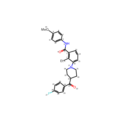 CCc1c(C(=O)Nc2ccc(OC)cc2)cccc1N1CCC(C(=O)c2ccc(F)cc2)CC1